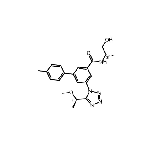 CO[C@H](C)c1nnnn1-c1cc(C(=O)N[C@@H](C)CO)cc(-c2ccc(C)cc2)c1